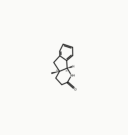 C[C@]12CCC(=O)N[C@H]1c1ccccc1C2